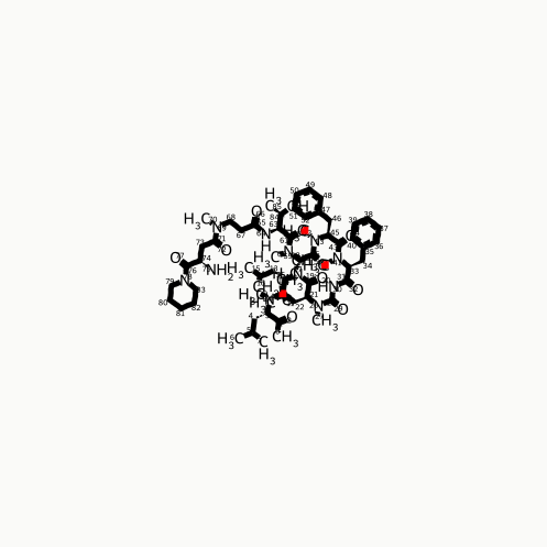 CC(=O)[C@H](CC(C)C)N(C)C(=O)[C@H](CC(C)C)N(C)C(=O)[C@H](CC(C)C)N(C)C(=O)NC(=O)[C@H](Cc1ccccc1)N(C)C(=O)[C@H](Cc1ccccc1)N(C)C(=O)[C@H](C)N(C)C(=O)[C@@H](NC(=O)CCN(C)C(=O)C[C@H](N)C(=O)N1CCCCC1)[C@@H](C)O